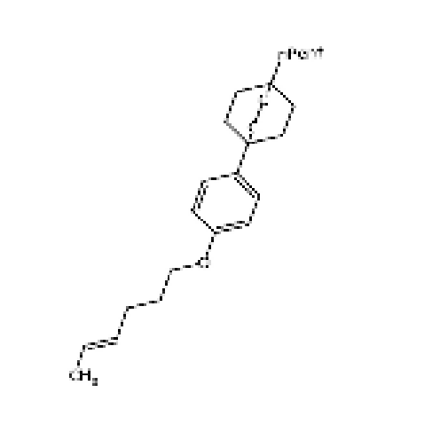 CC=CCCCOc1ccc(C23CCC(CCCCC)(CC2)CC3)cc1